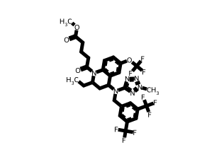 CCC1CC(N(Cc2cc(C(F)(F)F)cc(C(F)(F)F)c2)c2nnn(C)n2)c2cc(OC(F)(F)F)ccc2N1C(=O)CCCC(=O)OC